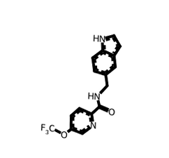 O=C(NCc1ccc2[nH]ccc2c1)c1ccc(OC(F)(F)F)cn1